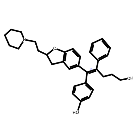 OCCC/C(=C(\c1ccc(O)cc1)c1ccc2c(c1)CC(CCN1CCCCC1)O2)c1ccccc1